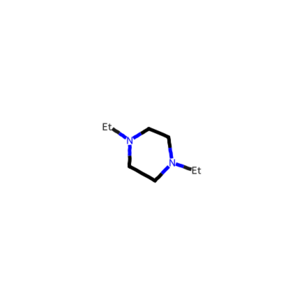 [CH2]CN1CCN(CC)CC1